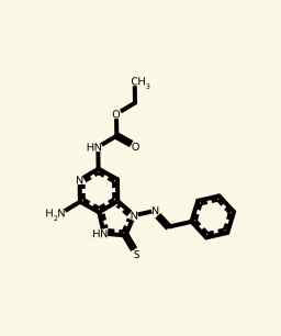 CCOC(=O)Nc1cc2c([nH]c(=S)n2/N=C/c2ccccc2)c(N)n1